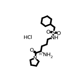 Cl.N[C@@H](CCCNS(=O)(=O)CC1CCCCC1)C(=O)N1CCCC1